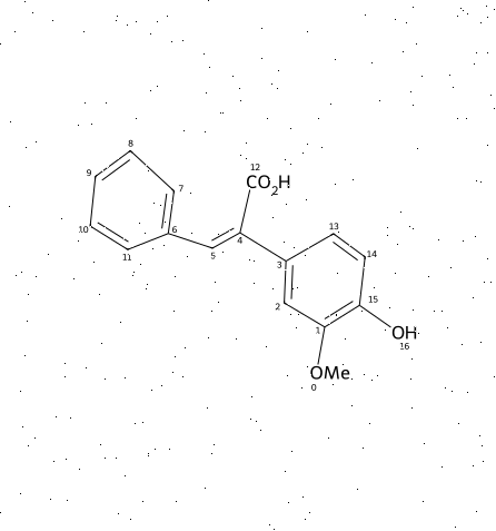 COc1cc(C(=Cc2ccccc2)C(=O)O)ccc1O